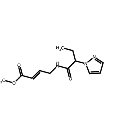 CCC(C(=O)NC/C=C/C(=O)OC)n1cccn1